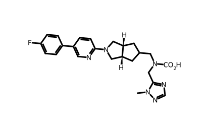 Cn1ncnc1CN(CC1C[C@@H]2CN(c3ccc(-c4ccc(F)cc4)cn3)C[C@@H]2C1)C(=O)O